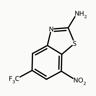 Nc1nc2cc(C(F)(F)F)cc([N+](=O)[O-])c2s1